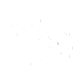 NC(=O)[C@@H](CCC(F)(F)F)N(Cc1ccc(-c2cocn2)cc1F)S(=O)(=O)c1ccc(Cl)cc1